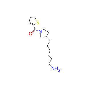 NCCCCCCC1CCN(C(=O)c2cccs2)C1